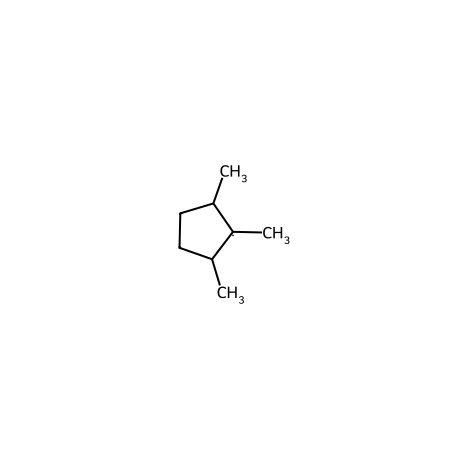 C[C]1C(C)CCC1C